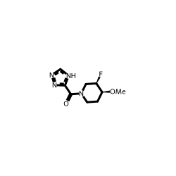 CO[C@H]1CCN(C(=O)c2nnc[nH]2)C[C@H]1F